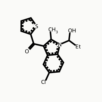 CCC(O)n1c(C)c(C(=O)c2cccs2)c2cc(Cl)ccc21